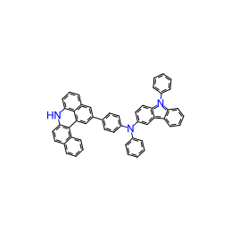 c1ccc(N(c2ccc(-c3cc4c5c(cccc5c3)Nc3ccc5ccccc5c3-4)cc2)c2ccc3c(c2)c2ccccc2n3-c2ccccc2)cc1